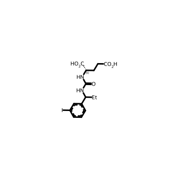 CCC(NC(=O)N[C@@H](CCC(=O)O)C(=O)O)c1cccc(I)c1